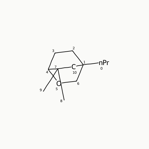 CCCC12CCC(OC1)C(C)(C)C2